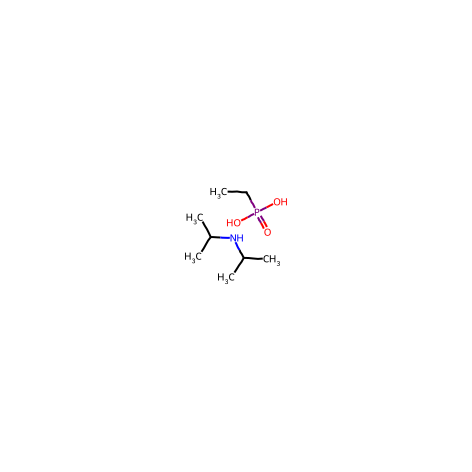 CC(C)NC(C)C.CCP(=O)(O)O